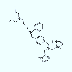 CCCN(CCC)CCCCN(Cc1ccc(CN(Cc2ncc[nH]2)Cc2nccn2C)cc1)c1ccccc1